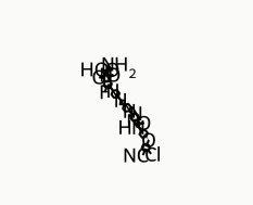 N#Cc1ccc(O[C@H]2CC[C@H](NC(=O)c3cnc(N4CCC5(CC4)CN(C4CCN(c6cc7c(cc6F)C(=O)N(C(O)C(N)=O)C7=O)CC4)C5)cn3)CC2)cc1Cl